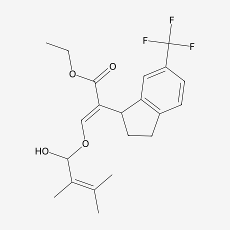 CCOC(=O)/C(=C/OC(O)C(C)=C(C)C)C1CCc2ccc(C(F)(F)F)cc21